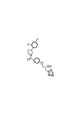 O=C(c1ccc(OC[C@H](O)Cn2ncnn2)cc1)N1CCC(c2ccc(F)cc2F)C1